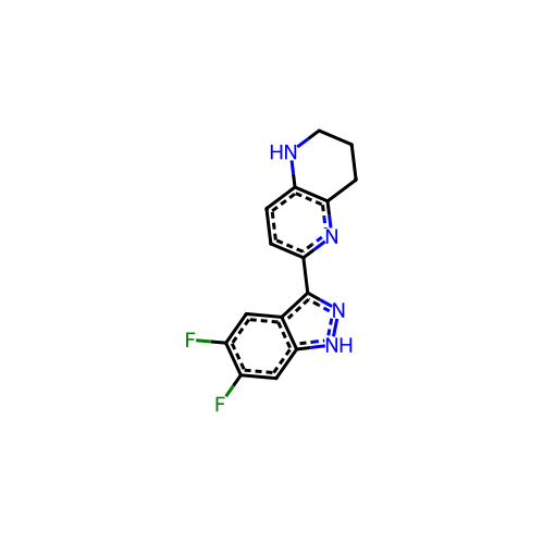 Fc1cc2[nH]nc(-c3ccc4c(n3)CCCN4)c2cc1F